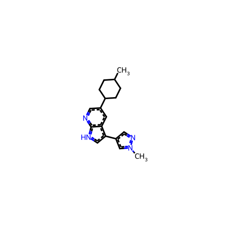 CC1CCC(c2cnc3[nH]cc(-c4cnn(C)c4)c3c2)CC1